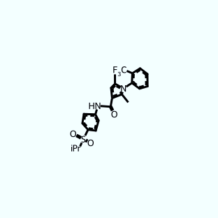 Cc1cc(C(=O)Nc2ccc(S(=O)(=O)C(C)C)cc2)c(C)n1-c1ccccc1C(F)(F)F